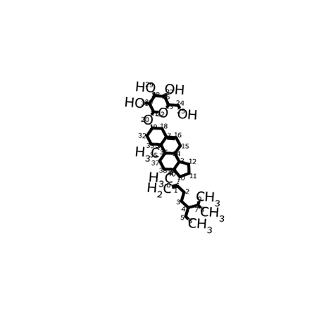 C=C(CCC(CC)C(C)C)[C@H]1CCC2C3CC=C4C[C@@H](OC5OC(CO)C(O)C(O)C5O)CC[C@]4(C)C3CC[C@@]21C